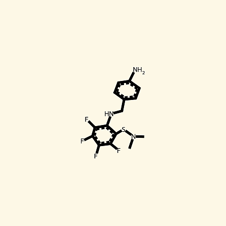 CN(C)Sc1c(F)c(F)c(F)c(F)c1NCc1ccc(N)cc1